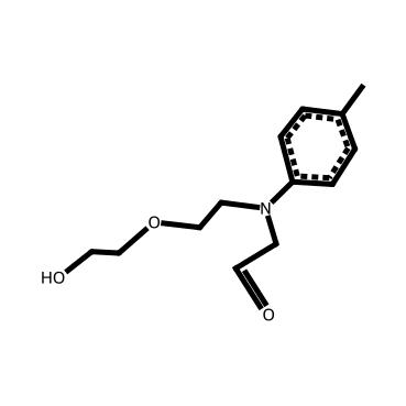 Cc1ccc(N(CC=O)CCOCCO)cc1